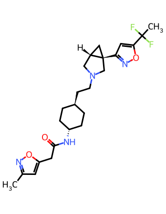 Cc1cc(CC(=O)N[C@H]2CC[C@H](CCN3C[C@@H]4C[C@]4(c4cc(C(C)(F)F)on4)C3)CC2)on1